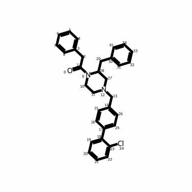 O=C(Cc1ccccc1)N1CCN(Cc2ccc(-c3ccccc3Cl)cc2)CC1Cc1ccccc1